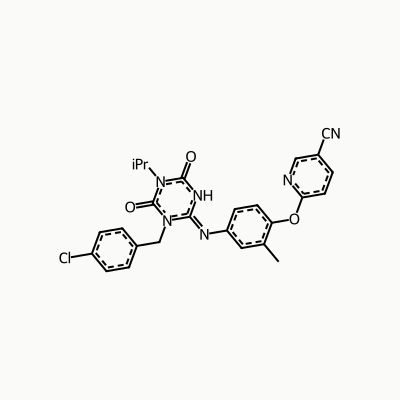 Cc1cc(/N=c2\[nH]c(=O)n(C(C)C)c(=O)n2Cc2ccc(Cl)cc2)ccc1Oc1ccc(C#N)cn1